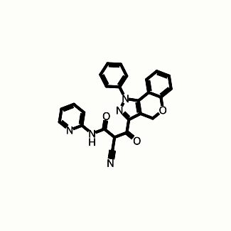 N#CC(C(=O)Nc1ccccn1)C(=O)c1nn(-c2ccccc2)c2c1COc1ccccc1-2